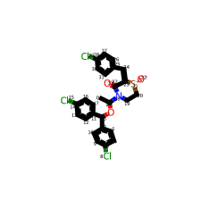 CC(OC(c1ccc(Cl)cc1)c1ccc(Cl)cc1)N1CC[S+]([O-])C(=Cc2ccc(Cl)cc2)C1=O